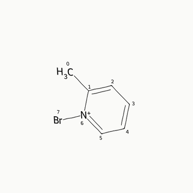 Cc1cccc[n+]1Br